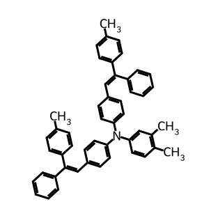 Cc1ccc(C(=Cc2ccc(N(c3ccc(C=C(c4ccccc4)c4ccc(C)cc4)cc3)c3ccc(C)c(C)c3)cc2)c2ccccc2)cc1